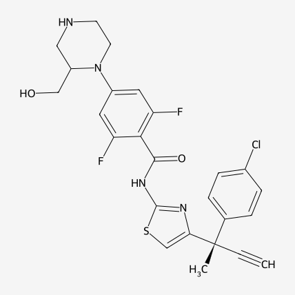 C#C[C@@](C)(c1ccc(Cl)cc1)c1csc(NC(=O)c2c(F)cc(N3CCNCC3CO)cc2F)n1